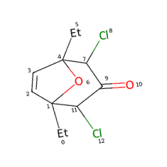 CCC12C=CC(CC)(O1)C(Cl)C(=O)C2Cl